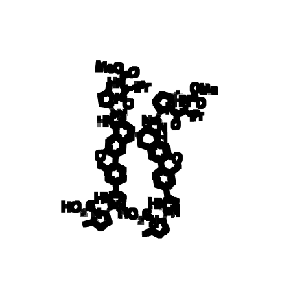 COC(=O)N[C@H](C(=O)N1C(C)CC[C@H]1c1nc2ccc3cc4c(cc3c2[nH]1)OCc1cc(-c2cnc([C@@H]3CCC(C)N3C(=O)O)[nH]2)ccc1-4)C(C)C.COC(=O)N[C@H](C(=O)N1[C@@H](C)CC[C@H]1c1nc2c([nH]1)-c1cc3c(cc1CC2)-c1ccc(-c2cnc([C@@H]4CCC(C)N4C(=O)O)[nH]2)cc1CO3)C(C)C